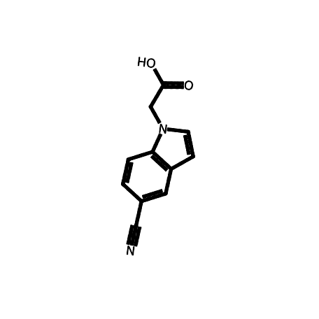 N#Cc1ccc2c(ccn2CC(=O)O)c1